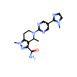 CC1c2c(C(N)=O)nn(C)c2CCN1c1ncc(-c2nccn2C)cn1